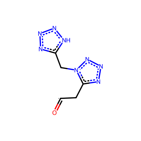 O=[C]Cc1nnnn1Cc1nnn[nH]1